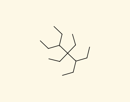 CC[C](CC)C(CC)(CC)[C](CC)CC